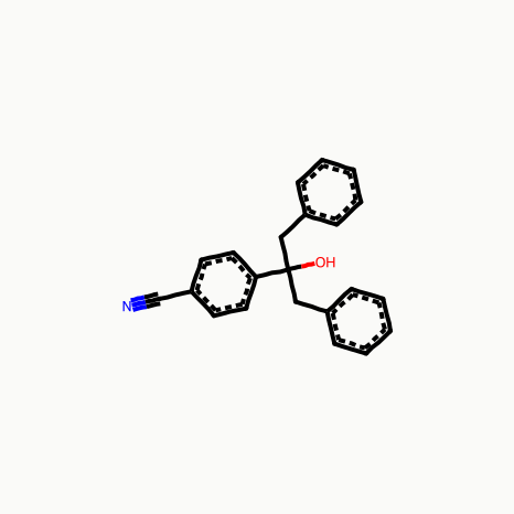 N#Cc1ccc(C(O)(Cc2ccccc2)Cc2ccccc2)cc1